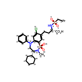 CC(C)CS(=O)(=O)N[C@@H](CCc1cc2c(cc1Cl)N(c1ccccc1)C[C@@H](C1CCCCC1)N(C)S2(=O)=O)C(=O)O